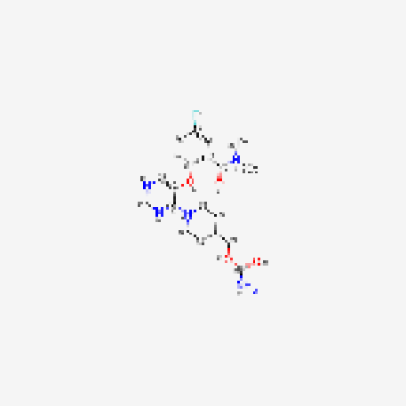 CCN(C(=O)c1cc(F)ccc1Oc1cncnc1N1CCC(COC(N)=O)CC1)C(C)C